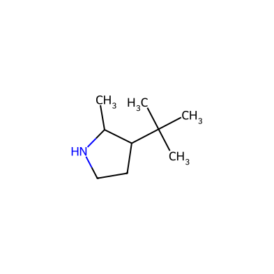 CC1NCCC1C(C)(C)C